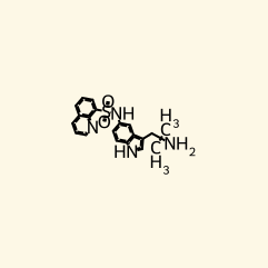 CC(C)(N)Cc1c[nH]c2ccc(NS(=O)(=O)c3cccc4cccnc34)cc12